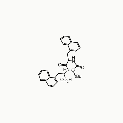 CC(C)(C)OC(=O)NC(Cc1cccc2ccccc12)C(=O)NC(Cc1cccc2ccccc12)C(=O)O